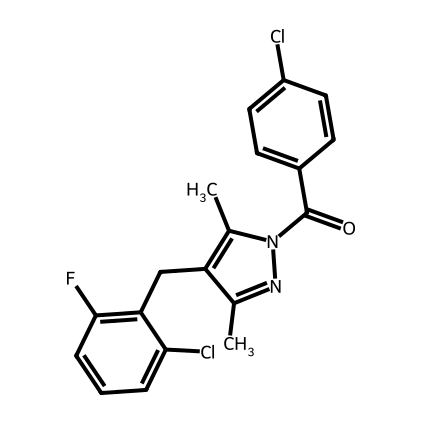 Cc1nn(C(=O)c2ccc(Cl)cc2)c(C)c1Cc1c(F)cccc1Cl